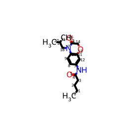 CCCCC(=O)Nc1ccc2c(c1)OCC(=O)N2CC(C)C